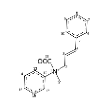 C[N+](CC=Cc1ccccc1)(C(=O)[O-])c1ccccc1